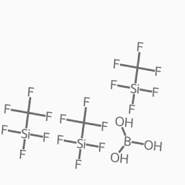 FC(F)(F)[Si](F)(F)F.FC(F)(F)[Si](F)(F)F.FC(F)(F)[Si](F)(F)F.OB(O)O